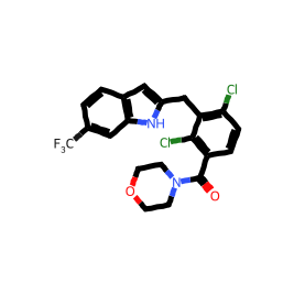 O=C(c1ccc(Cl)c(Cc2cc3ccc(C(F)(F)F)cc3[nH]2)c1Cl)N1CCOCC1